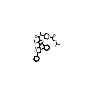 COc1c(C(=O)N(C)C2CCN(C(=O)COC(C)=O)CC2)sc2c1c(=O)n(CC(=O)c1ccccc1)c1ccccc21